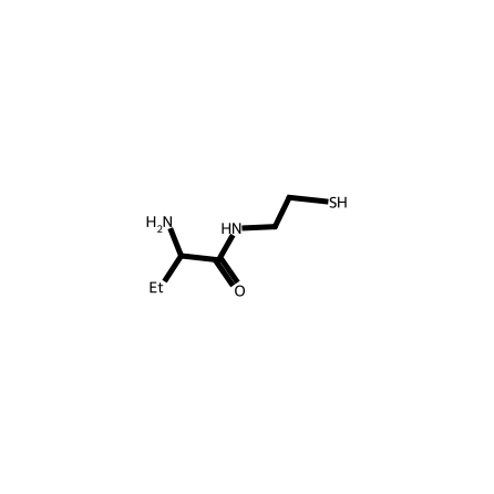 CCC(N)C(=O)NCCS